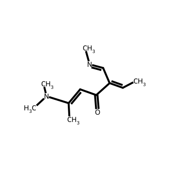 C/C=C(\C=NC)C(=O)/C=C(\C)N(C)C